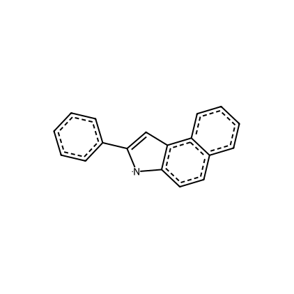 C1=C(c2ccccc2)[N]c2ccc3ccccc3c21